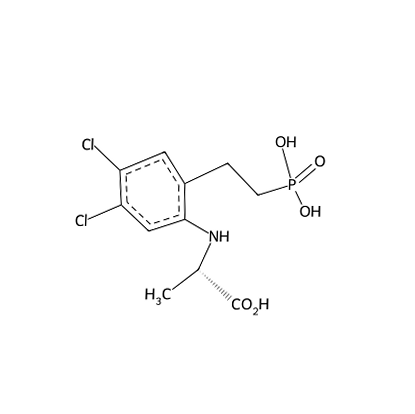 C[C@H](Nc1cc(Cl)c(Cl)cc1CCP(=O)(O)O)C(=O)O